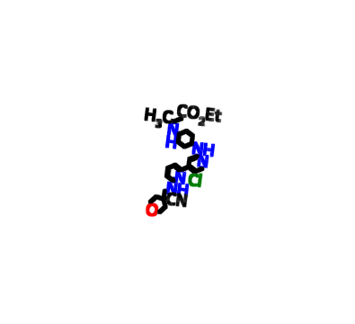 CCOC(=O)C[C@@H](C)NC1CCC(Nc2cc(-c3cccc(NCC4(C#N)CCOCC4)n3)c(Cl)cn2)CC1